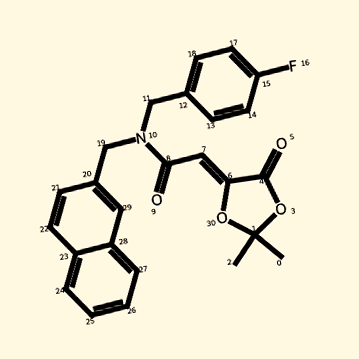 CC1(C)OC(=O)C(=CC(=O)N(Cc2ccc(F)cc2)Cc2ccc3ccccc3c2)O1